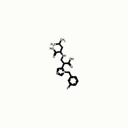 CC(C)CC(NCC(C(=O)O)c1cncn1Cc1cccc(F)c1)C(=O)O